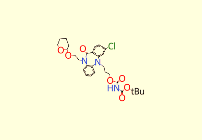 CC(C)(C)OC(=O)NC(=O)OCCCN1c2cc(Cl)ccc2C(=O)N(CCOC2CCCCO2)c2ccccc21